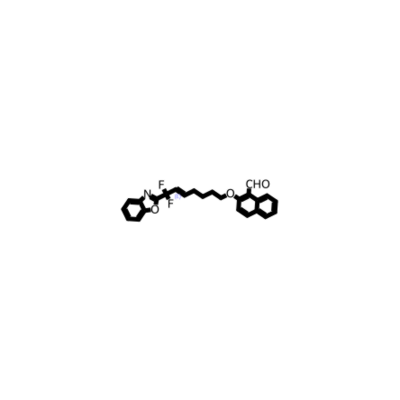 O=Cc1c(OCCCC/C=C/C(F)(F)c2nc3ccccc3o2)ccc2ccccc12